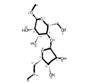 CO[C@H]1O[C@H](CO)[C@@H](O[C@@H]2O[C@@H](CSC)[C@@H](O)[C@@H]2O)[C@H](O)[C@@H]1O